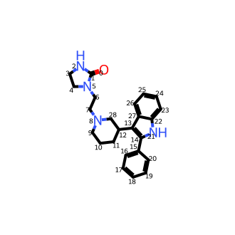 O=C1NCCN1CCN1CCCC(c2c(-c3ccccc3)[nH]c3ccccc23)C1